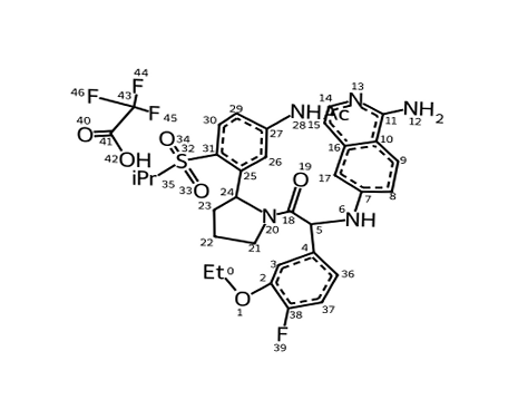 CCOc1cc(C(Nc2ccc3c(N)nccc3c2)C(=O)N2CCCC2c2cc(NC(C)=O)ccc2S(=O)(=O)C(C)C)ccc1F.O=C(O)C(F)(F)F